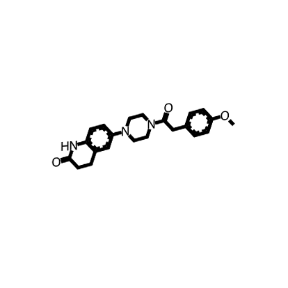 COc1ccc(CC(=O)N2CCN(c3ccc4c(c3)CCC(=O)N4)CC2)cc1